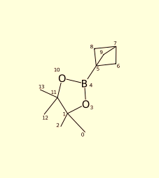 CC1(C)OB(C23CC(C2)C3)OC1(C)C